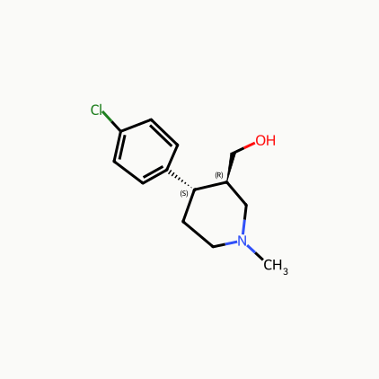 CN1CC[C@H](c2ccc(Cl)cc2)[C@@H](CO)C1